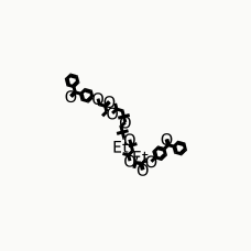 CCC(C)(CC(C)O[C@](C)(CC)C(=O)COc1ccc(C(=O)c2ccccc2)cc1)OCC(C)(C)COC(C)(C)CC(C)OC(C)C(=O)COc1ccc(C(=O)c2ccccc2)cc1